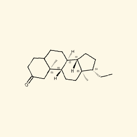 CC[C@H]1CC[C@H]2[C@@H]3CCC4CCC(=O)C[C@]4(C)[C@H]3CC[C@]12C